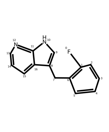 Fc1[c]cccc1Cc1c[nH]c2ncccc12